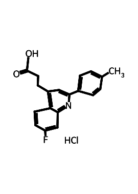 Cc1ccc(-c2cc(CCC(=O)O)c3ccc(F)cc3n2)cc1.Cl